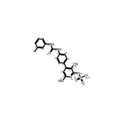 Cc1cccc(NC(=O)Nc2ccc(-c3cc(C(C)(C)C)nc(OS(=O)(=O)C(F)(F)F)c3C#N)cc2)c1